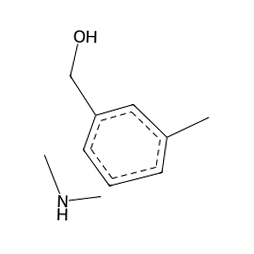 CNC.Cc1cccc(CO)c1